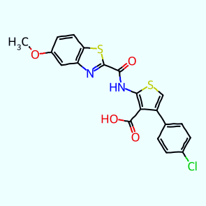 COc1ccc2sc(C(=O)Nc3scc(-c4ccc(Cl)cc4)c3C(=O)O)nc2c1